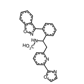 O=C(O)NC(Cc1cccc(-c2ncco2)n1)c1ccccc1-c1noc2ccccc12